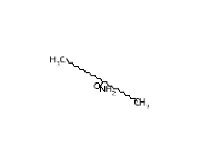 CCCCCCCCCCCCCCC(CCCCCCCCCCCC)C(N)=O